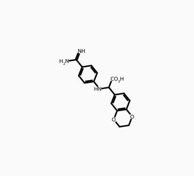 N=C(N)c1ccc(NC(C(=O)O)c2ccc3c(c2)OCCO3)cc1